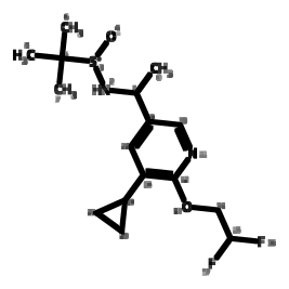 CC(N[S+]([O-])C(C)(C)C)c1cnc(OCC(F)F)c(C2CC2)c1